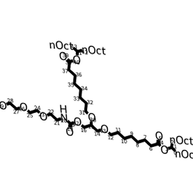 CCCCCCCCC(CCCCCCCC)OC(=O)CCCCCCCOCC(COC(=O)NCCOCCOCCO)OCCCCCCCC(=O)OC(CCCCCCCC)CCCCCCCC